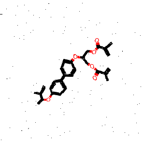 C=C(C)C(=C)Oc1ccc(-c2ccc(OC(COC(=O)C(=C)C)COC(=O)C(=C)C)cc2)cc1